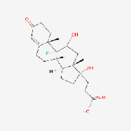 C[C@]12CCC(=O)C=C1CC[C@H]1[C@@H]3CC[C@](O)(CCC(=O)O)[C@@]3(C)CC(O)[C@@]12F